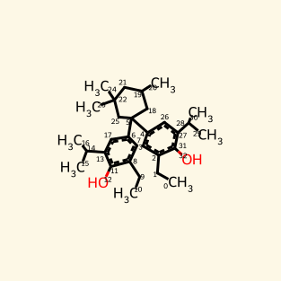 CCc1cc(C2(c3cc(CC)c(O)c(C(C)C)c3)CC(C)CC(C)(C)C2)cc(C(C)C)c1O